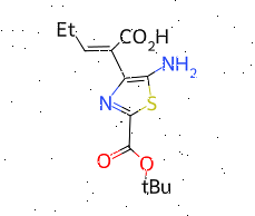 CCC=C(C(=O)O)c1nc(C(=O)OC(C)(C)C)sc1N